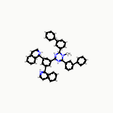 CN1C(c2cccc(-c3ccccc3)c2)=NC(c2cc(-c3nccc4ccccc34)cc(-c3nccc4ccccc34)c2)=NC1c1cccc(-c2ccccc2)c1